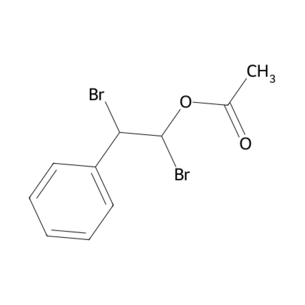 CC(=O)OC(Br)C(Br)c1ccccc1